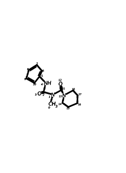 CN(C(=O)Nc1ccccc1)C(=O)N1CCCCC1